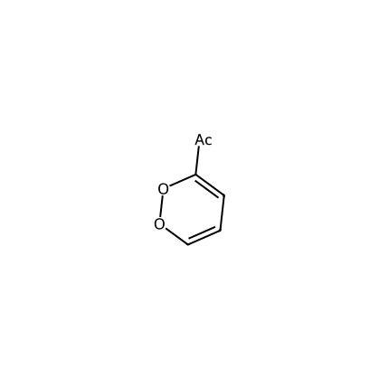 CC(=O)C1=CC=COO1